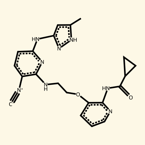 [C-]#[N+]c1ccc(Nc2cc(C)[nH]n2)nc1NCCOc1cccnc1NC(=O)C1CC1